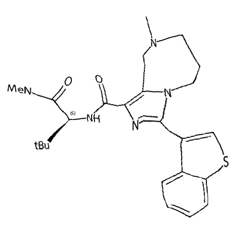 CNC(=O)[C@@H](NC(=O)c1nc(-c2csc3ccccc23)n2c1CN(C)CCC2)C(C)(C)C